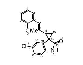 COc1ccccc1/C=C/C1CC12C(=O)Nc1ccc(Cl)cc12